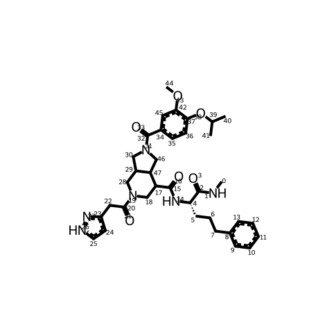 CNC(=O)[C@H](CCCc1ccccc1)NC(=O)C1CN(C(=O)Cc2cc[nH]n2)CC2CN(C(=O)c3ccc(OC(C)C)c(OC)c3)CC21